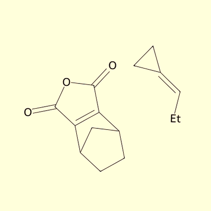 CCC=C1CC1.O=C1OC(=O)C2=C1C1CCC2C1